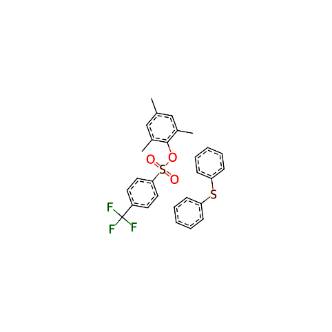 Cc1cc(C)c(OS(=O)(=O)c2ccc(C(F)(F)F)cc2)c(C)c1.c1ccc(Sc2ccccc2)cc1